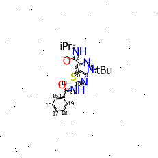 CC(C)NC(=O)c1nn(C(C)(C)C)c2nc(NC(=O)c3ccccc3)sc12